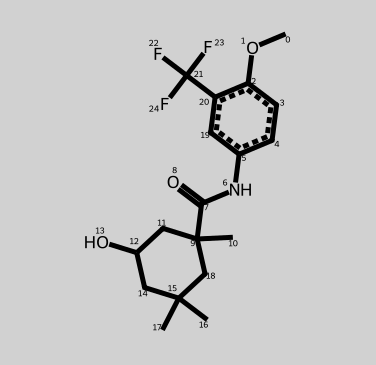 COc1ccc(NC(=O)C2(C)CC(O)CC(C)(C)C2)cc1C(F)(F)F